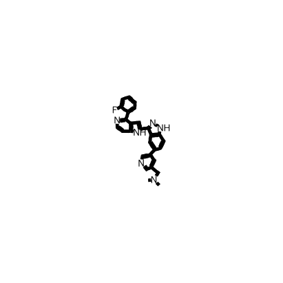 CN(C)Cc1cncc(-c2ccc3[nH]nc(-c4cc5c(-c6ccccc6F)nccc5[nH]4)c3c2)c1